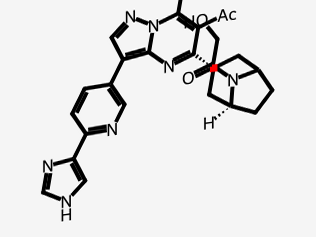 CC(=O)c1c([C@@H]2CC3CC[C@@H](C2)N3C(=O)CO)nc2c(-c3ccc(-c4c[nH]cn4)nc3)cnn2c1N